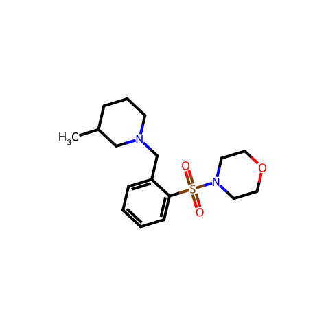 CC1CCCN(Cc2ccccc2S(=O)(=O)N2CCOCC2)C1